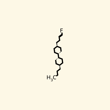 CCCC[C@H]1CC[C@H]([C@H]2CC[C@H](CC/C=C/F)CC2)CC1